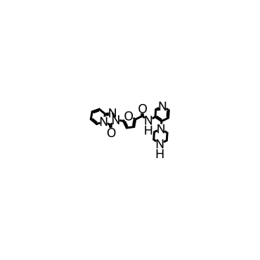 O=C(Nc1cnccc1N1CCNCC1)c1ccc(-n2nc3ccccn3c2=O)o1